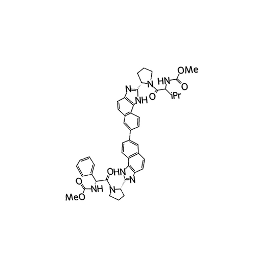 COC(=O)NC(C(=O)N1CCC[C@H]1c1nc2ccc3cc(-c4ccc5c(ccc6nc([C@@H]7CCCN7C(=O)[C@H](NC(=O)OC)c7ccccc7)[nH]c65)c4)ccc3c2[nH]1)C(C)C